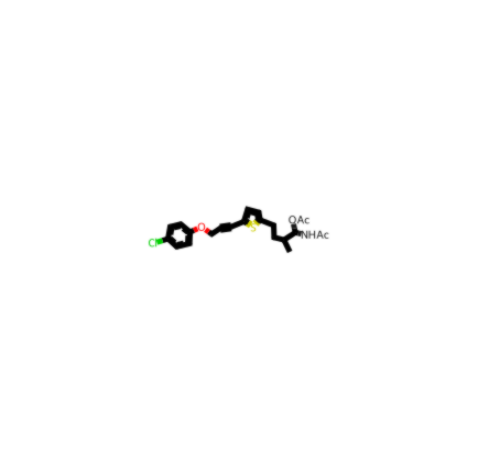 CC(=O)NC(OC(C)=O)C(C)CCc1ccc(C#CCOc2ccc(Cl)cc2)s1